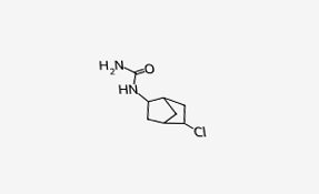 NC(=O)NC1CC2CC1CC2Cl